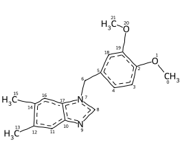 COc1ccc(Cn2cnc3cc(C)c(C)cc32)cc1OC